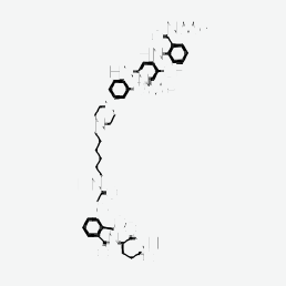 CNC(=O)c1ccccc1Nc1cc(Nc2ccc(N3CCN(CCCCCCNC(=O)COc4cccc5c4C(=O)N(C4CCC(=O)NC4=O)C5=O)CC3)cc2OC)ncc1C(F)(F)F